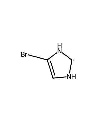 BrC1=CN[C]N1